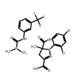 CC1(C(=O)O)CC(C(=O)O)=NN1c1ccc(Cl)cc1Cl.CN(C)C(=O)Nc1cccc(C(F)(F)F)c1